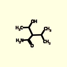 CC(C)C(C(N)=O)C(C)O